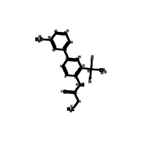 CCC(=O)Nc1ccc(-c2cncc(C)c2)nc1C(C)(F)F